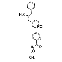 CCONC(=O)c1ccc(-c2cccc(CN(C)Cc3ccccc3)c2)cn1.Cl